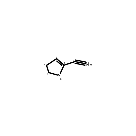 N#CC1=CCCS1